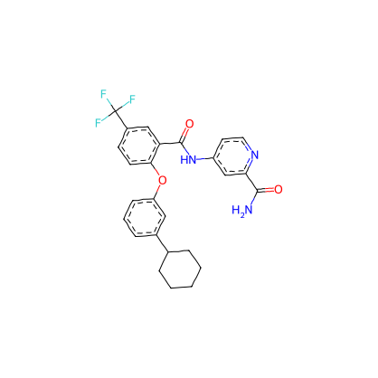 NC(=O)c1cc(NC(=O)c2cc(C(F)(F)F)ccc2Oc2cccc(C3CCCCC3)c2)ccn1